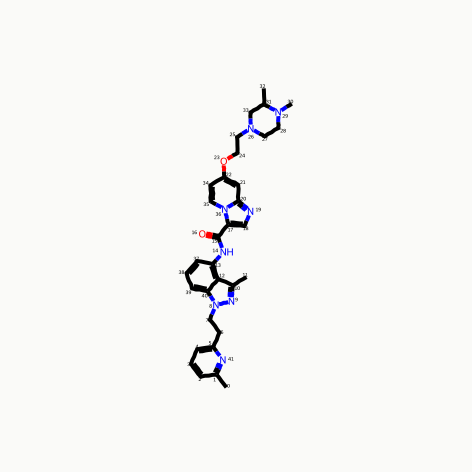 Cc1cccc(CCn2nc(C)c3c(NC(=O)c4cnc5cc(OCCN6CCN(C)C(C)C6)ccn45)cccc32)n1